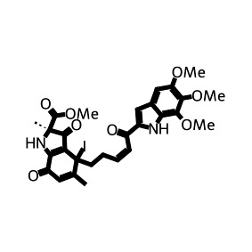 COC(=O)[C@]1(C)NC2=C(C1=O)C(I)(CC/C=C\C(=O)c1cc3cc(OC)c(OC)c(OC)c3[nH]1)C(C)=CC2=O